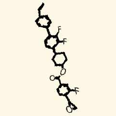 C=Cc1ccc(-c2ccc(C3CCC(OC(=O)c4ccc(C5CO5)c(F)c4)CC3)c(F)c2F)cc1